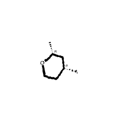 C[C@@H]1C[C@H](I)CCO1